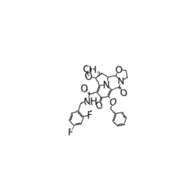 COC1CC2C3OCCN3C(=O)c3c(OCc4ccccc4)c(=O)c(C(=O)NCc4ccc(F)cc4F)c1n32